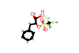 O=C(O)C(Cc1ccccc1)OS(=O)(=O)C(F)(F)F